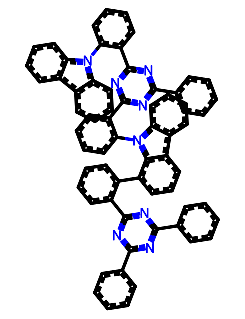 c1ccc(-c2nc(-c3ccccc3)nc(-c3ccccc3-c3cccc4c5ccccc5n(-c5ccccc5-c5nc(-c6ccccc6)nc(-c6ccccc6-n6c7ccccc7c7ccccc76)n5)c34)n2)cc1